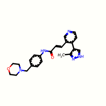 Cc1n[nH]cc1-c1ccncc1/C=C/C(=O)Nc1ccc(CN2CCOCC2)cc1